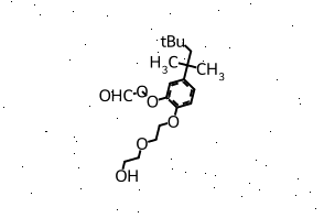 CC(C)(C)CC(C)(C)c1ccc(OCCOCCO)c(OOC=O)c1